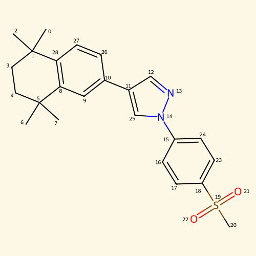 CC1(C)CCC(C)(C)c2cc(-c3cnn(-c4ccc(S(C)(=O)=O)cc4)c3)ccc21